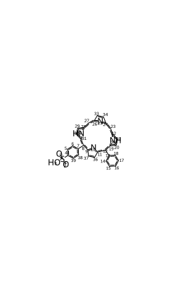 O=S(=O)(O)c1ccc(-c2c3nc(c(-c4ccccc4)c4ccc(cc5nc(cc6ccc2[nH]6)C=C5)[nH]4)C=C3)cc1